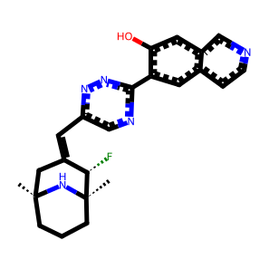 C[C@@]12CCC[C@@](C)(N1)[C@@H](F)/C(=C\c1cnc(-c3cc4ccncc4cc3O)nn1)C2